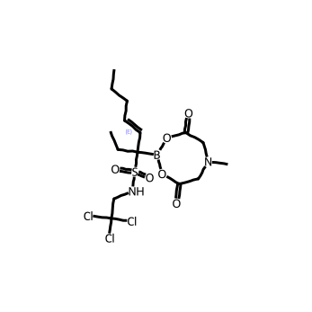 CCC/C=C/C(CC)(B1OC(=O)CN(C)CC(=O)O1)S(=O)(=O)NCC(Cl)(Cl)Cl